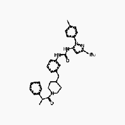 Cc1ccc(-n2nc(C(C)(C)C)cc2NC(=O)Nc2cccc(CC3CCN(C(=O)C(C)c4ccccc4)CC3)c2)cc1